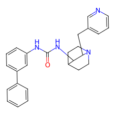 O=C(Nc1cccc(-c2ccccc2)c1)NC1C2CCN(CC2)C1Cc1cccnc1